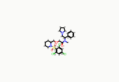 CN(C(=O)COCC1CCCCN1S(=O)(=O)c1c(Cl)cc(Cl)cc1Cl)C(CN1CCCC1)c1ccccc1